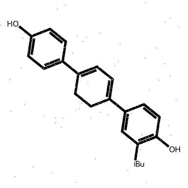 CCC(C)c1cc(C2=CC=C(c3ccc(O)cc3)CC2)ccc1O